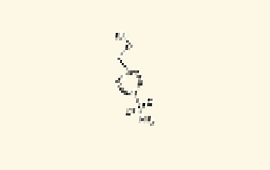 CC(C)(C)OCc1ccc(S(N)(=O)=O)cc1